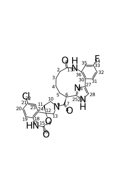 O=C1CCCC[C@H](C(=O)N2CC[C@@]3(C2)OC(=O)Nc2ccc(Cl)cc23)c2nc(c[nH]2)-c2ccc(F)cc2N1